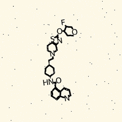 O=C(N[C@H]1CC[C@H](CCN2CCc3sc(OC4CCOCC4F)nc3C2)CC1)c1cccc2ncccc12